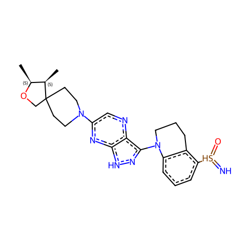 C[C@@H]1OCC2(CCN(c3cnc4c(N5CCCc6c5cccc6[SH](=N)=O)n[nH]c4n3)CC2)[C@@H]1C